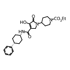 CCOC(=O)N1CCC(N2CC(C(=O)N[C@H]3CC[C@@H](c4ccccc4)CC3)=C(O)C2=O)CC1